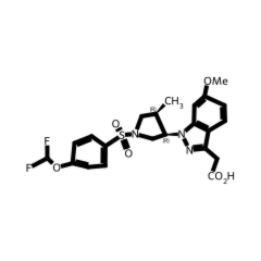 COc1ccc2c(CC(=O)O)nn([C@H]3CN(S(=O)(=O)c4ccc(OC(F)F)cc4)C[C@H]3C)c2c1